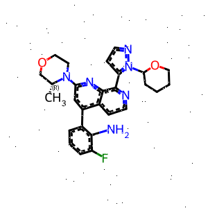 C[C@@H]1COCCN1c1cc(-c2cccc(F)c2N)c2ccnc(-c3ccnn3C3CCCCO3)c2n1